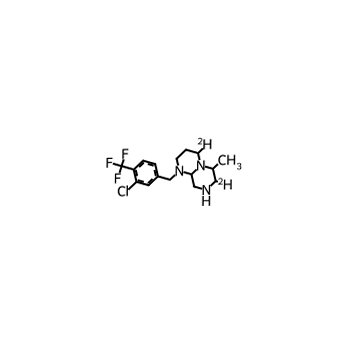 [2H]C1NCC2N(Cc3ccc(C(F)(F)F)c(Cl)c3)CCC([2H])N2C1C